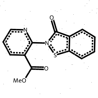 COC(=O)c1cccnc1-n1sc2ccccc2c1=O